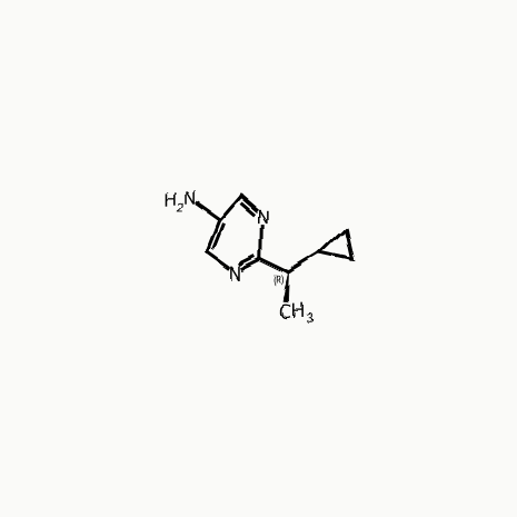 C[C@@H](c1ncc(N)cn1)C1CC1